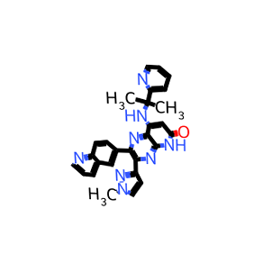 Cn1ccc(-c2nc3[nH]c(=O)cc(NC(C)(C)c4ccccn4)c3nc2-c2ccc3ncccc3c2)n1